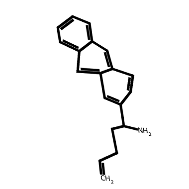 C=CCCC(N)c1ccc2cc3ccccc3cc2c1